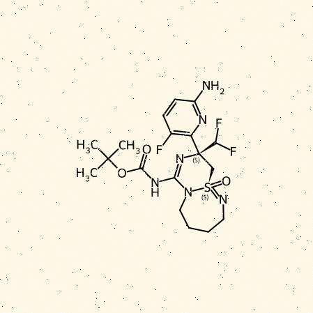 CC(C)(C)OC(=O)NC1=N[C@@](c2nc(N)ccc2F)(C(F)F)C[S@@]2(=O)=NCCCCN12